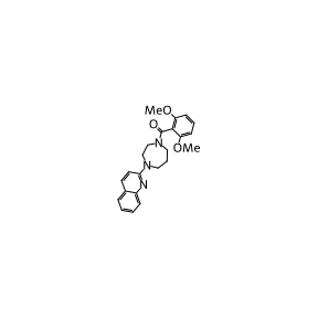 COc1cccc(OC)c1C(=O)N1CCCN(c2ccc3ccccc3n2)CC1